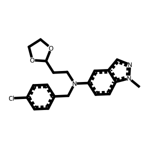 Cn1ncc2cc(N(CCC3OCCO3)Cc3ccc(Cl)cc3)ccc21